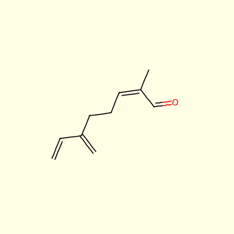 C=CC(=C)CCC=C(C)C=O